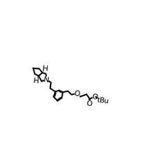 CC(C)(C)OC(=O)CCOCCc1cccc(CCN2C[C@H]3CCC[C@H]3C2)c1